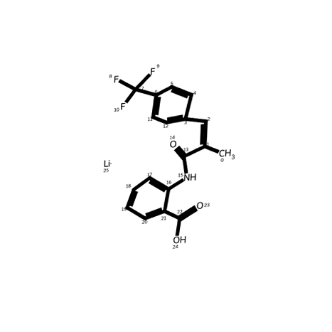 CC(=Cc1ccc(C(F)(F)F)cc1)C(=O)Nc1ccccc1C(=O)O.[Li]